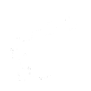 [C-]#[N+]c1cccc(-c2cnc(C(=O)CCc3ccc(-c4ccccc4)cc3)o2)n1